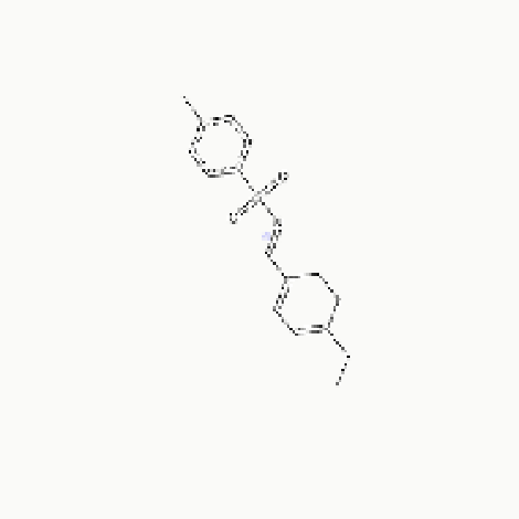 CCC1=CC=C(/C=N/S(=O)(=O)c2ccc(C)cc2)CC1